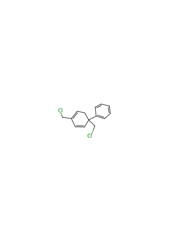 ClCC1=CCC(CCl)(c2ccccc2)C=C1